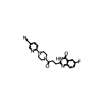 N#Cc1ccc(N2CCN(C(=O)CCc3nc4ccc(F)cc4c(=O)[nH]3)CC2)nc1